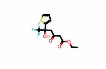 CCOC(=O)CC(=O)CC(O)(c1cccs1)C(F)(F)F